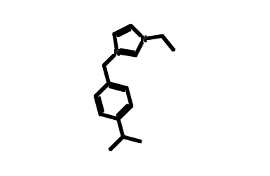 CCn1cc[n+](Cc2ccc(C(C)C)cc2)c1